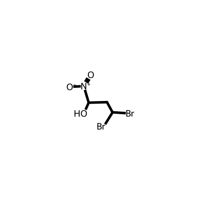 O=[N+]([O-])C(O)CC(Br)Br